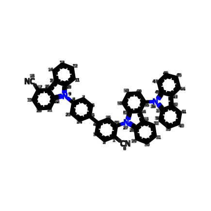 N#Cc1ccc(-c2ccc(-n3c4ccccc4c4c(C#N)cccc43)cc2)cc1-n1c2ccccc2c2c(-n3c4ccccc4c4ccccc43)cccc21